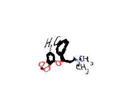 Cc1cccc(C(CCN(C)C)Oc2cccc3c2OCO3)c1